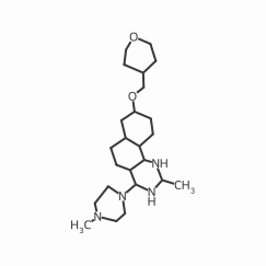 CC1NC2C3CCC(OCC4CCOCC4)CC3CCC2C(N2CCN(C)CC2)N1